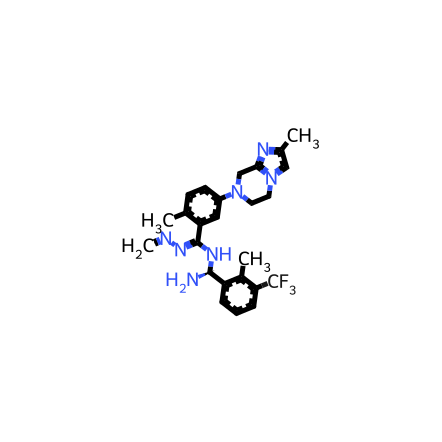 C=N/N=C(/N[C@H](N)c1cccc(C(F)(F)F)c1C)c1cc(N2CCn3cc(C)nc3C2)ccc1C